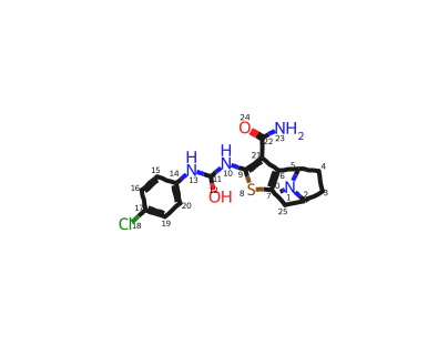 CN1C2CCC1c1c(sc(NC(O)Nc3ccc(Cl)cc3)c1C(N)=O)C2